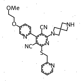 COCCOc1ccc(-c2c(C#N)c(SCc3ccccn3)nc(N3CC4(CNC4)C3)c2C#N)nc1